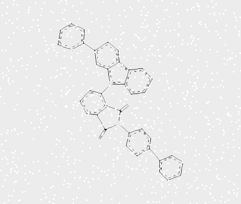 O=C1c2cccc(-n3c4ccccc4c4ccc(-c5ccccn5)cc43)c2C(=O)N1c1ccc(-c2ccccc2)cc1